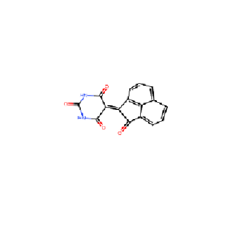 O=C1NC(=O)C(=c2c(=O)c3cccc4cccc2c43)C(=O)N1